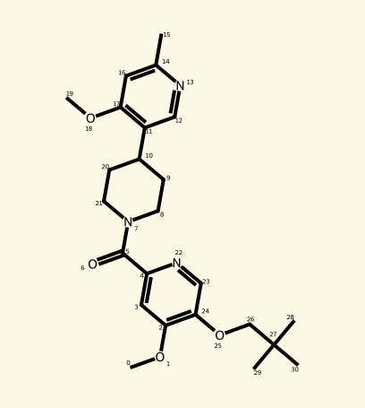 COc1cc(C(=O)N2CCC(c3cnc(C)cc3OC)CC2)ncc1OCC(C)(C)C